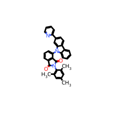 Cc1cc(C)c(N2C(=O)c3cccc(-n4c5ccccc5c5ccc(-c6ccccn6)cc54)c3C2=O)c(C)c1